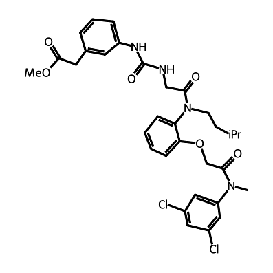 COC(=O)Cc1cccc(NC(=O)NCC(=O)N(CCC(C)C)c2ccccc2OCC(=O)N(C)c2cc(Cl)cc(Cl)c2)c1